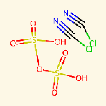 N#CCl.N#CCl.O=S(=O)(O)OS(=O)(=O)O